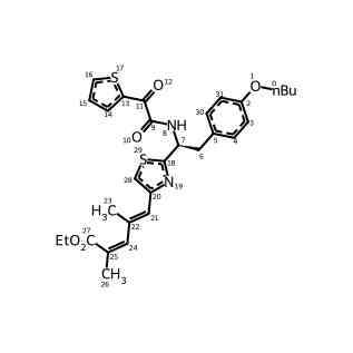 CCCCOc1ccc(C[C@H](NC(=O)C(=O)c2cccs2)c2nc(/C=C(C)/C=C(/C)C(=O)OCC)cs2)cc1